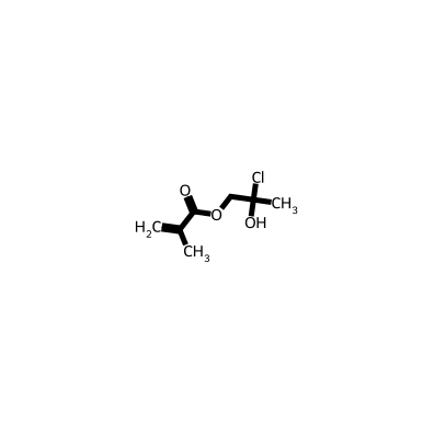 C=C(C)C(=O)OCC(C)(O)Cl